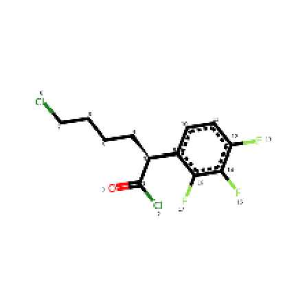 O=C(Cl)[C@@H](CCCCCl)c1ccc(F)c(F)c1F